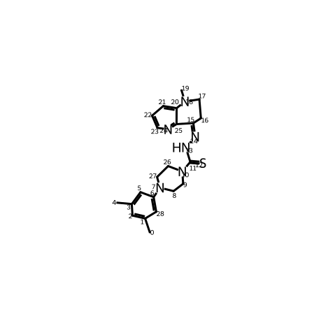 Cc1cc(C)cc(N2CCN(C(=S)N/N=C3/CCN(C)c4cccnc43)CC2)c1